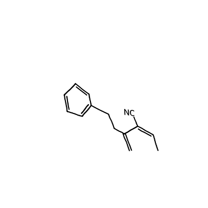 C=C(CCc1ccccc1)/C(C#N)=C\C